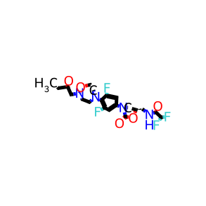 CCC(=O)CN1CCN(c2c(F)cc(N3C[C@H](CNC(=O)C(F)F)OC3=O)cc2F)CCO1